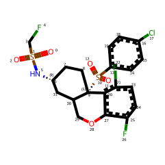 O=S(=O)(CF)N[C@@H]1CC[C@@]2(S(=O)(=O)c3ccc(Cl)cc3)c3c(F)ccc(F)c3OCC2C1